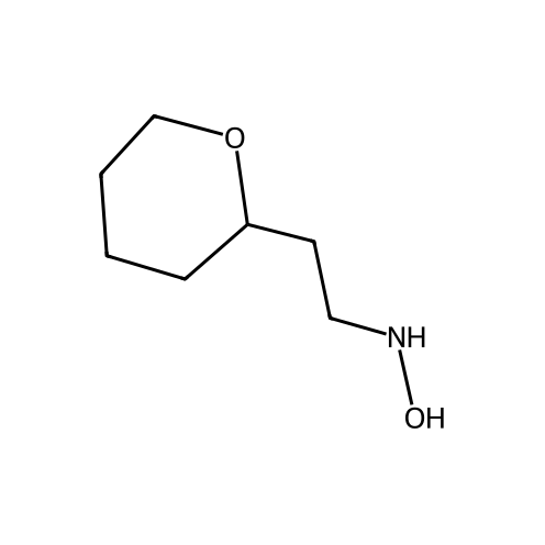 ONCCC1CCCCO1